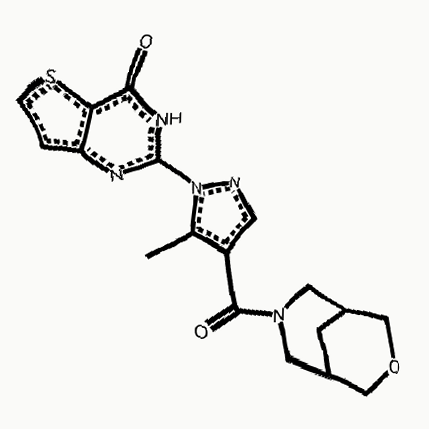 Cc1c(C(=O)N2CC3COCC(C3)C2)cnn1-c1nc2ccsc2c(=O)[nH]1